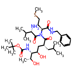 CSCC[C@@H](C(=O)NCc1ccccc1)N(C(=O)[C@H](CC(C)C)C[C@@H](O)[C@@H](NC(=O)OC(C)(C)C)[C@@H](C)O)C(=O)[C@@H](N)C(C)C